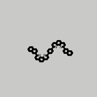 c1ccc2cc(-c3ccc4ccc5ccc(-c6ccc(-c7ccc8ccc9ccc(-c%10ccc%11ccccc%11c%10)nc9c8n7)cc6)nc5c4n3)ccc2c1